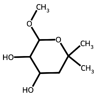 COC1OC(C)(C)CC(O)C1O